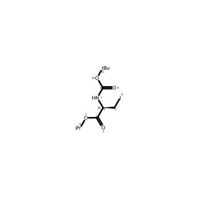 CC(C)OC(=O)[C@H](CI)NC(=O)OC(C)(C)C